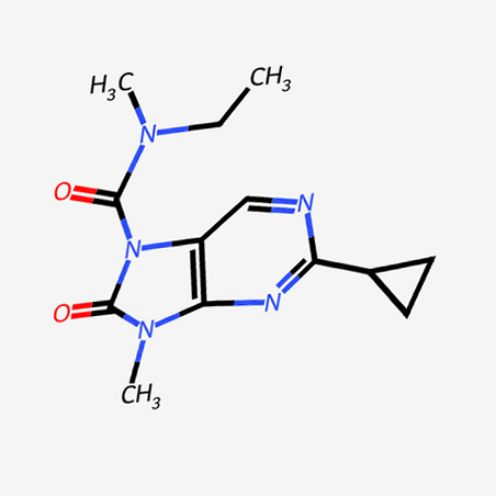 CCN(C)C(=O)n1c(=O)n(C)c2nc(C3CC3)ncc21